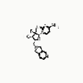 Nc1ccn([C@@H]2O[C@H](CN3Cc4ccncc4C3)[C@@H](O)C2(F)F)c(=O)n1